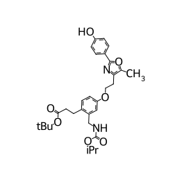 Cc1oc(-c2ccc(O)cc2)nc1CCOc1ccc(CCC(=O)OC(C)(C)C)c(CNC(=O)OC(C)C)c1